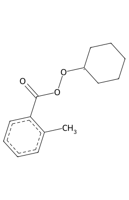 Cc1ccccc1C(=O)OO[C]1CCCCC1